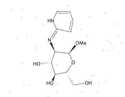 CO[C@H]1O[C@H](CO)[C@@H](O)[C@H](O)[C@H]1N=c1cccc[nH]1